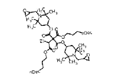 CCCCCCCCCCCCCOC(=O)C(CC)C(C(=O)OCCCCCCCCCCCCC)(C(=O)OC1CC(C)(C)N(CC2CO2)C(C)(C)C1)C(=O)OC1CC(C)(C)N(CC2CO2)C(C)(C)C1